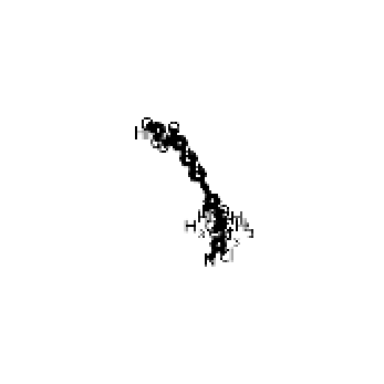 CC1(C)[C@H](NC(=O)c2ccc(C#CC3CCN(C4CCN(c5ccc6c(c5)C(=O)N(C5CCC(=O)NC5=O)C6=O)CC4)CC3)cc2F)C(C)(C)[C@H]1Oc1ccc(C#N)c(Cl)c1